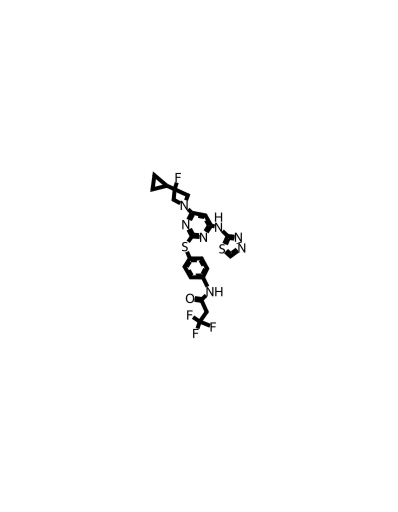 O=C(CC(F)(F)F)Nc1ccc(Sc2nc(Nc3nncs3)cc(N3CC(F)(C4CC4)C3)n2)cc1